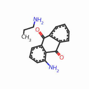 CCCN.Nc1cccc2c1C(=O)c1ccccc1C2=O